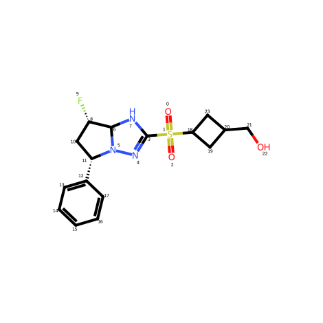 O=S(=O)(C1=NN2C(N1)[C@@H](F)C[C@H]2c1ccccc1)C1CC(CO)C1